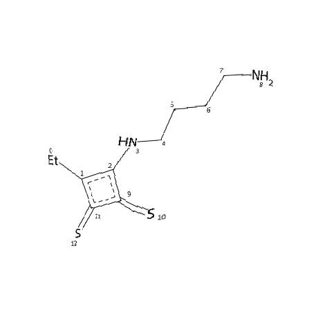 CCc1c(NCCCCN)c(=S)c1=S